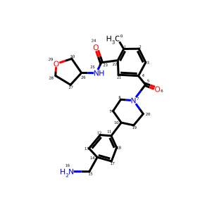 Cc1ccc(C(=O)N2CCC(c3ccc(CN)cc3)CC2)cc1C(=O)NC1CCOC1